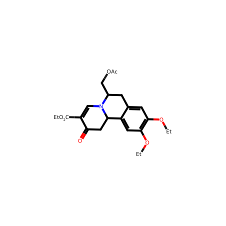 CCOC(=O)C1=CN2C(COC(C)=O)Cc3cc(OCC)c(OCC)cc3C2CC1=O